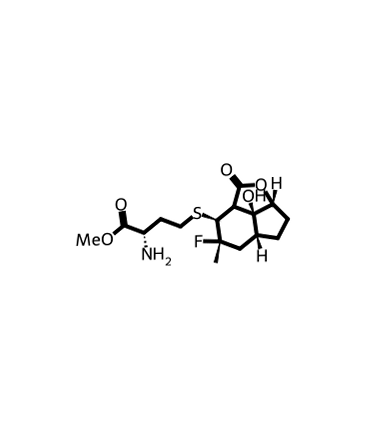 COC(=O)[C@@H](N)CCS[C@H]1C2C(=O)O[C@@H]3CC[C@H](C[C@]1(C)F)[C@]23O